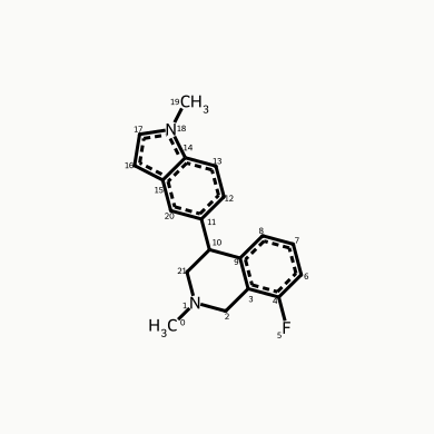 CN1Cc2c(F)cccc2C(c2ccc3c(ccn3C)c2)C1